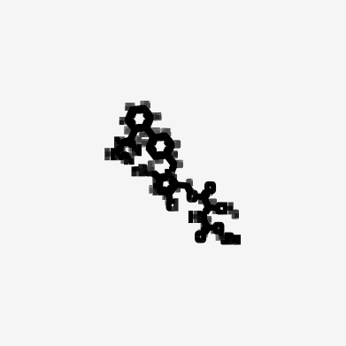 CCCCc1nc(Cl)c(COC(=O)C(C)NC(=O)OC(C)(C)C)n1Cc1ccc(-c2ccccc2-c2nn[nH]n2)cc1